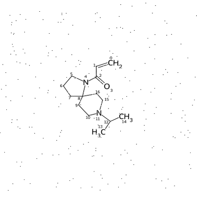 C=CC(=O)N1CCCC12CCN(C(C)C)CC2